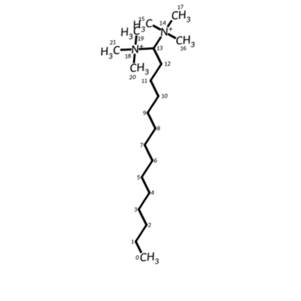 CCCCCCCCCCCCCC([N+](C)(C)C)[N+](C)(C)C